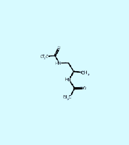 CC(CNC(=O)C(Cl)(Cl)Cl)NC(=O)C(Cl)(Cl)Cl